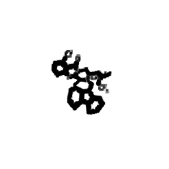 C[C@@H](c1nc2cccc(Cl)c2c(=O)n1CCCN(C)CC(F)(F)F)N(CC1c2ccccc2-c2ccccc21)C(=O)O